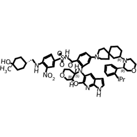 CC(C)c1ccccc1[C@@H]1COCCN1[C@@H]1CCCC2(CCN(c3ccc(C(=O)NS(=O)(=O)c4ccc(NC[C@H]5CC[C@](C)(O)CC5)c([N+](=O)[O-])c4)c(N4c5cc6cc[nH]c6nc5O[C@H]5COCC[C@@H]54)c3)CC2)C1